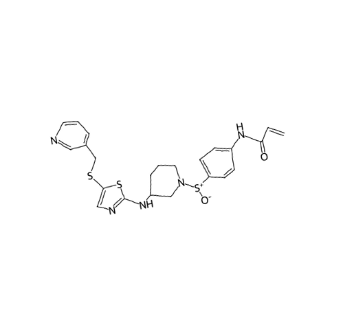 C=CC(=O)Nc1ccc([S+]([O-])N2CCCC(Nc3ncc(SCc4cccnc4)s3)C2)cc1